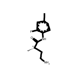 Cc1ccc(NC(=O)[C@@H](C)CCN)c(F)c1